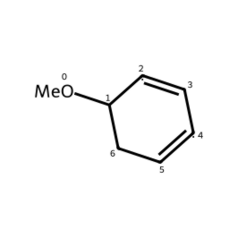 COC1[C]=C[C]=CC1